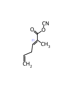 C=CC/C=C(\C)C(=O)OC#N